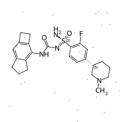 CN1CCC[C@@H](c2ccc([S@@](N)(=O)=NC(=O)Nc3c4c(cc5c3CC5)CCC4)c(F)c2)C1